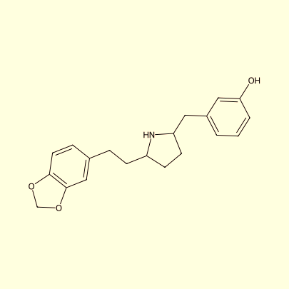 Oc1cccc(CC2CCC(CCc3ccc4c(c3)OCO4)N2)c1